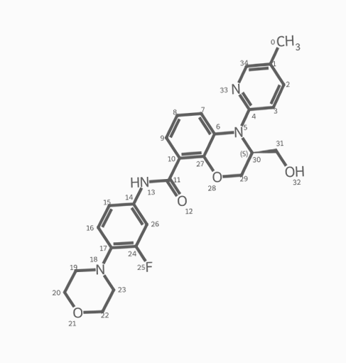 Cc1ccc(N2c3cccc(C(=O)Nc4ccc(N5CCOCC5)c(F)c4)c3OC[C@@H]2CO)nc1